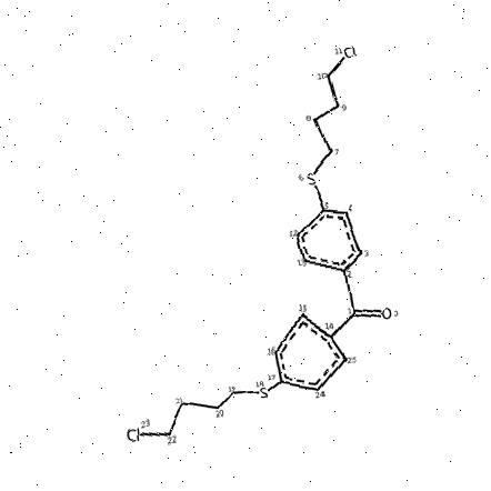 O=C(c1ccc(SCCCCCl)cc1)c1ccc(SCCCCCl)cc1